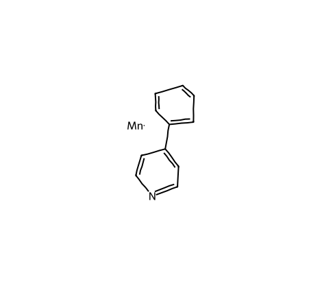 [Mn].c1ccc(-c2ccncc2)cc1